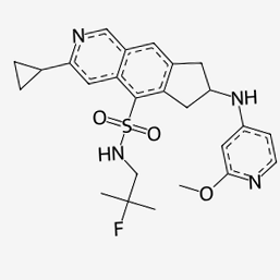 COc1cc(NC2Cc3cc4cnc(C5CC5)cc4c(S(=O)(=O)NCC(C)(C)F)c3C2)ccn1